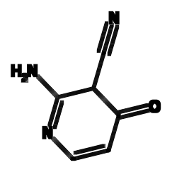 N#CC1C(=O)C=CN=C1N